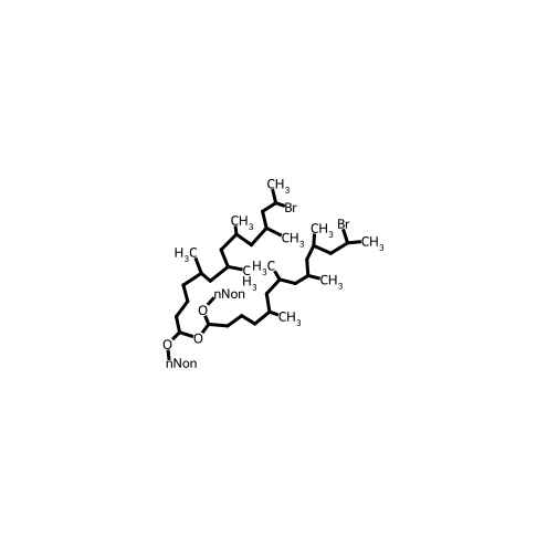 CCCCCCCCCOC(CCCC(C)CC(C)CC(C)CC(C)CC(C)Br)OC(CCCC(C)CC(C)CC(C)CC(C)CC(C)Br)OCCCCCCCCC